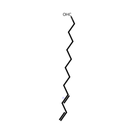 C=C/C=C/CCCCCCCCC=O